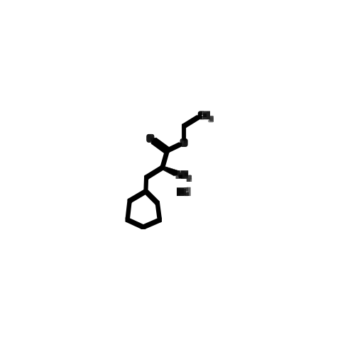 CCOC(=O)[C@@H](N)CC1CCCCC1.Cl